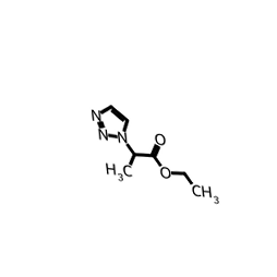 CCOC(=O)C(C)n1ccnn1